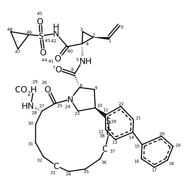 C=C[C@@H]1C[C@]1(NC(=O)[C@@H]1C[C@@]2(c3ccc(-c4ccccc4)cc3)CN1C(=O)[C@@H](NC(=O)O)CCCCCCCCCS2)C(=O)NS(=O)(=O)C1CC1